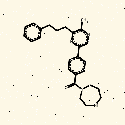 Cc1ncc(-c2ccc(C(=O)N3CCCNCC3)cc2)nc1CCCc1ccccc1